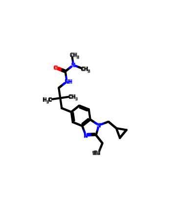 CN(C)C(=O)NCC(C)(C)Cc1ccc2c(c1)nc(CC(C)(C)C)n2CC1CC1